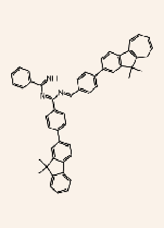 CC1(C)C2=C(C=CC=CC2)c2ccc(-c3ccc(/C=N/C(=N\C(=N)c4ccccc4)c4ccc(-c5ccc6c(c5)C(C)(C)c5ccccc5-6)cc4)cc3)cc21